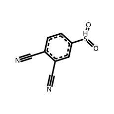 N#Cc1ccc([SH](=O)=O)cc1C#N